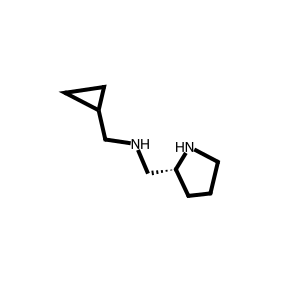 C1CN[C@@H](CNCC2CC2)C1